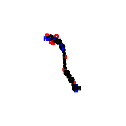 [2H]c1nccc(COc2ccc(C(C)(C)c3ccc(OCCCCCCOCCCCN4CCN(c5ccc6c(c5)C(=O)N(C5CCC(=O)NC5=O)C6=O)CC4)cc3)cc2)n1